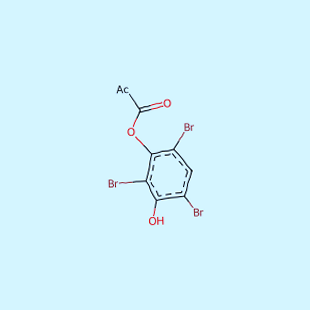 CC(=O)C(=O)Oc1c(Br)cc(Br)c(O)c1Br